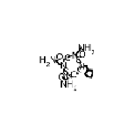 NC(=O)CN1CCCN(CC(N)=O)CCN(Cc2ccccc2)CCCN(CC(N)=O)CC1